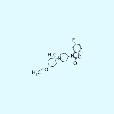 CCO[C@H]1CC[C@](C)(N2CCC(n3c(=O)oc4ccc(F)cc43)CC2)CC1